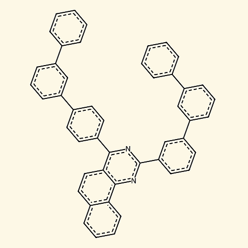 c1ccc(-c2cccc(-c3ccc(-c4nc(-c5cccc(-c6cccc(-c7ccccc7)c6)c5)nc5c4ccc4ccccc45)cc3)c2)cc1